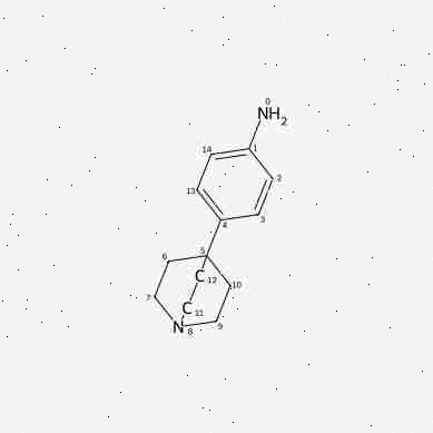 Nc1ccc(C23CCN(CC2)CC3)cc1